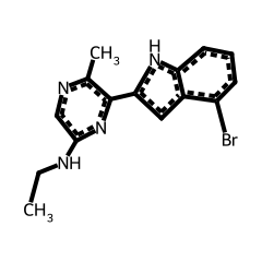 CCNc1cnc(C)c(-c2cc3c(Br)cccc3[nH]2)n1